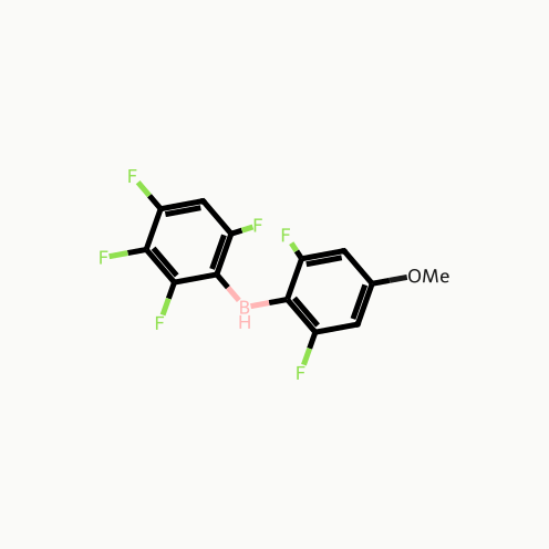 COc1cc(F)c(Bc2c(F)cc(F)c(F)c2F)c(F)c1